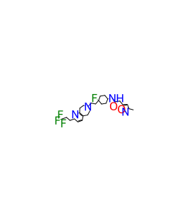 Cc1cc(CC(=O)N[C@H]2CC[C@](F)(CCN3CCc4ccc(CCC(F)(F)F)nc4CC3)CC2)on1